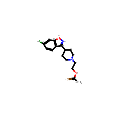 CC(=S)OCCN1CCC(c2noc3cc(F)ccc23)CC1